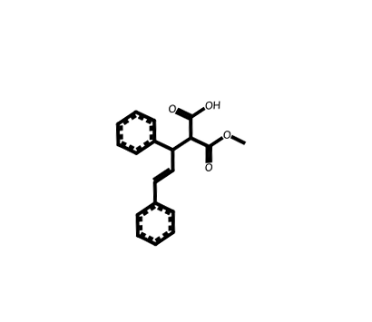 COC(=O)C(C(=O)O)C(C=Cc1ccccc1)c1ccccc1